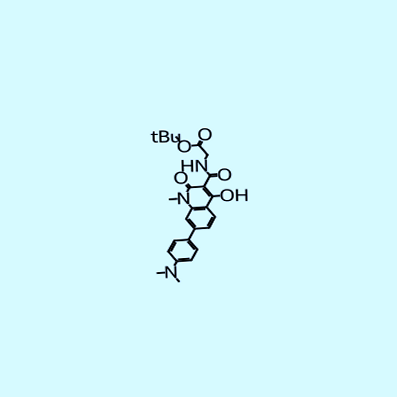 CN(C)c1ccc(-c2ccc3c(O)c(C(=O)NCC(=O)OC(C)(C)C)c(=O)n(C)c3c2)cc1